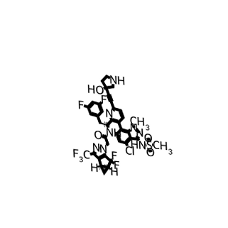 Cn1nc(NS(C)(=O)=O)c2c(Cl)ccc(-c3ccc(C#CC4(O)CCNC4)nc3[C@H](Cc3cc(F)cc(F)c3)NC(=O)Cn3nc(C(F)(F)F)c4c3C(F)(F)[C@@H]3C[C@H]43)c21